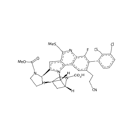 COC(=O)N1CCC[C@@H]1c1cc2c(SC)nc3c(F)c(-c4cccc(Cl)c4Cl)c(CCC#N)cc3c2n1[C@H]1[C@@H]2C[C@H]1N(C(=O)O)C2